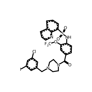 O=C(c1ccc(NS(=O)(=O)c2cccc3cccnc23)c(OC(F)(F)F)c1)N1CCN(Cc2cc(Cl)cc(I)c2)CC1